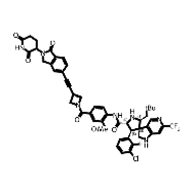 COc1cc(C(=O)N2CC(C#Cc3ccc4c(c3)CN(C3CCC(=O)NC3=O)C4=O)C2)ccc1NC(=O)[C@@H]1N[C@@H](CC(C)(C)C)[C@@]2(CNc3cc(C(F)(F)F)ncc32)[C@H]1c1cccc(Cl)c1F